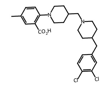 Cc1ccc(N2CCC(CN3CCC(Cc4ccc(Cl)c(Cl)c4)CC3)CC2)c(C(=O)O)c1